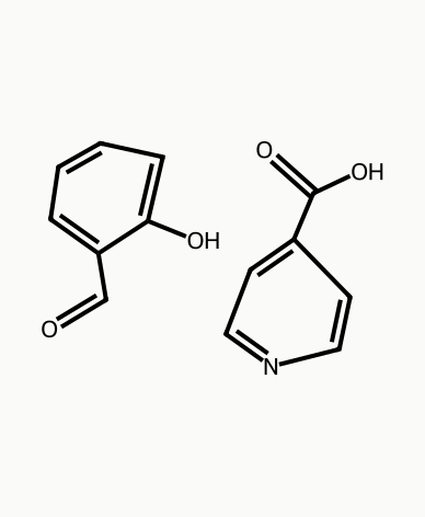 O=C(O)c1ccncc1.O=Cc1ccccc1O